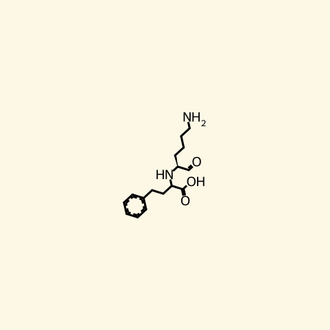 NCCCC[C@@H](C=O)NC(CCc1ccccc1)C(=O)O